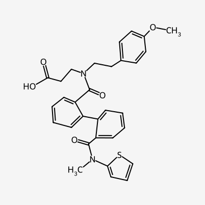 COc1ccc(CCN(CCC(=O)O)C(=O)c2ccccc2-c2ccccc2C(=O)N(C)c2cccs2)cc1